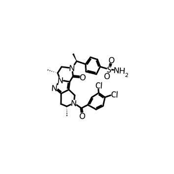 C[C@@H]1Cc2nn3c(c2CN1C(=O)c1ccc(Cl)c(Cl)c1)C(=O)N([C@@H](C)c1ccc(S(N)(=O)=O)cc1)C[C@H]3C